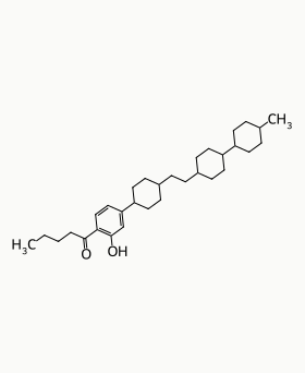 CCCCC(=O)c1ccc(C2CCC(CCC3CCC(C4CCC(C)CC4)CC3)CC2)cc1O